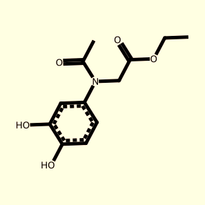 CCOC(=O)CN(C(C)=O)c1ccc(O)c(O)c1